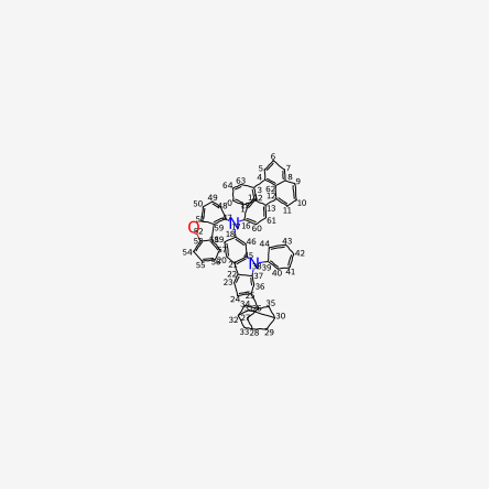 c1ccc(-c2cccc3cccc(-c4ccc(N(c5ccc6c7ccc(C89CC%10CC(CC(C%10)C8)C9)cc7n(-c7ccccc7)c6c5)c5cccc6oc7ccccc7c56)cc4)c23)cc1